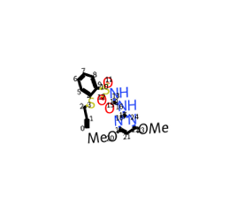 C#CCSc1ccccc1S(=O)(=O)NC(=O)Nc1nc(OC)cc(OC)n1